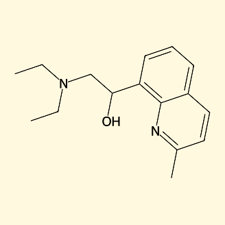 CCN(CC)CC(O)c1cccc2ccc(C)nc12